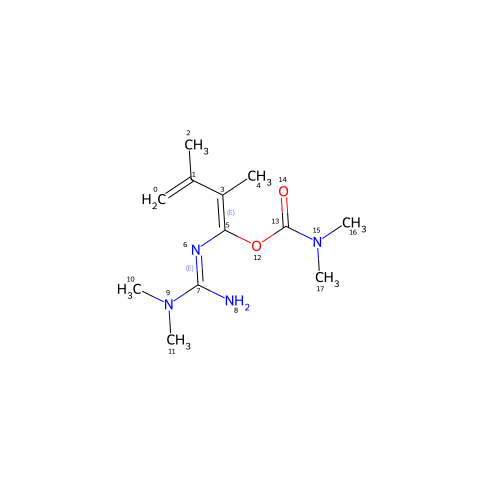 C=C(C)/C(C)=C(\N=C(/N)N(C)C)OC(=O)N(C)C